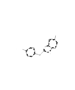 FC(F)(F)c1ccc(Cc2nc3ccc(Br)cc3s2)cc1